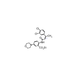 CCOC(=O)c1cc(N2CCOCC2)ccc1NC(=O)/C=C(/C)c1ccc(Cl)c(Cl)c1